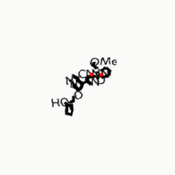 COCCN(C)C(=O)N1C2CC1CN(c1ccc(-c3cc(OCCCN4C5CCC4C(O)C5)cn4ncc(C#N)c34)cn1)C2